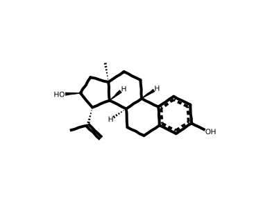 C=C(C)[C@H]1[C@H]2[C@@H]3CCc4cc(O)ccc4[C@H]3CC[C@]2(C)C[C@@H]1O